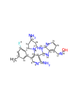 Cc1cc(F)cc(-c2cnc(N)c(-c3nc4c(/C=N\O)ccnc4[nH]3)c2N2CCC(N)CC2)c1